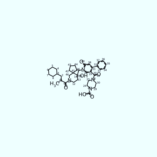 C[C@H](CC1CCCCC1)C(=O)N1CC[C@](O)(Cn2cc(C(=O)N3CCN(C(=O)O)CC3)c(-c3ccccc3)cc2=O)C2(CCCC2)C1